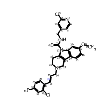 O=C(NCc1ccnc(Cl)c1)n1c2c(c3ccc(OC(F)(F)F)cc31)CN(C/C=C/c1ccc(F)cc1Cl)CC2